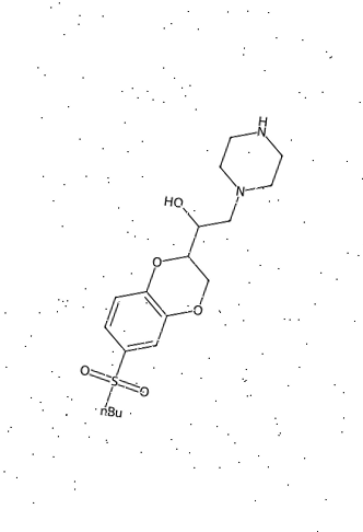 CCCCS(=O)(=O)c1ccc2c(c1)OCC(C(O)CN1CCNCC1)O2